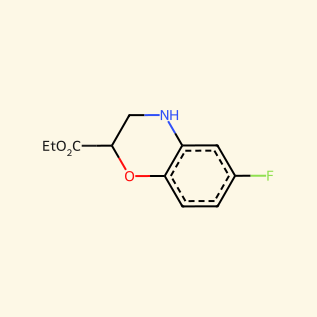 CCOC(=O)C1CNc2cc(F)ccc2O1